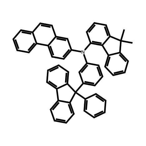 CC1(C)c2ccccc2-c2c(N(c3cccc(C4(c5ccccc5)c5ccccc5-c5ccccc54)c3)c3ccc4c(ccc5ccccc54)c3)cccc21